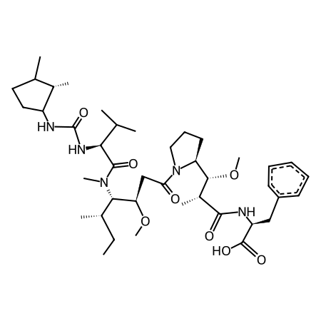 CC[C@H](C)[C@@H]([C@@H](CC(=O)N1CCC[C@H]1[C@H](OC)[C@@H](C)C(=O)N[C@@H](Cc1ccccc1)C(=O)O)OC)N(C)C(=O)[C@@H](NC(=O)NC1CCC(C)[C@@H]1C)C(C)C